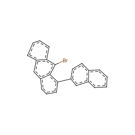 Brc1c2ccccc2cc2cccc(-c3ccc4ccccc4c3)c12